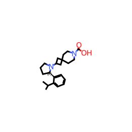 CC(C)c1ccccc1[C@H]1CCCN1C1CC2(CCN(C(=O)O)CC2)C1